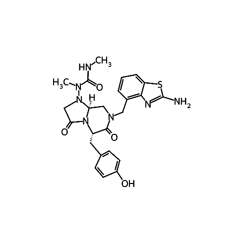 CNC(=O)N(C)N1CC(=O)N2[C@@H](Cc3ccc(O)cc3)C(=O)N(Cc3cccc4sc(N)nc34)C[C@@H]21